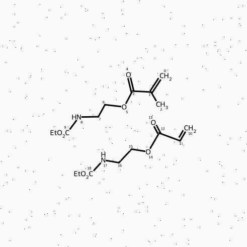 C=C(C)C(=O)OCCNC(=O)OCC.C=CC(=O)OCCNC(=O)OCC